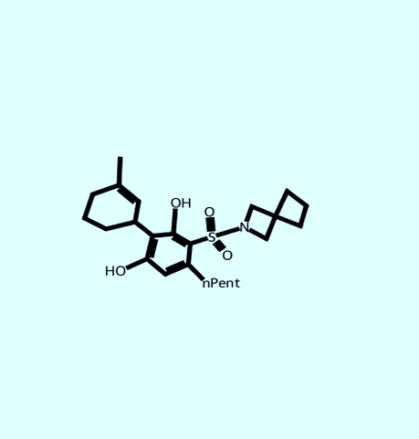 CCCCCc1cc(O)c(C2C=C(C)CCC2)c(O)c1S(=O)(=O)N1CC2(CCC2)C1